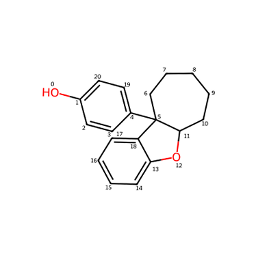 Oc1ccc(C23CCCCCC2Oc2ccccc23)cc1